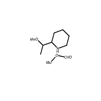 CC(C)(C)OC=O.COC(C)C1CCCCN1